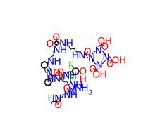 CCC(=O)NCCNC(=O)/N=C(/N)NCCC[C@@H](NC(=O)[C@H](c1ccccc1)N1Cc2cccc(NCCCNc3c(NCCCCCCNC(=O)CN4CCN(CC(=O)O)CCN(CC(=O)O)CCN(CC(=O)O)CC4)c(=O)c3=O)c2C1)C(=O)NCc1c(F)cc(O)cc1F